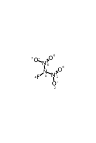 O=[N+]([O-])N(F)[N+](=O)[O-]